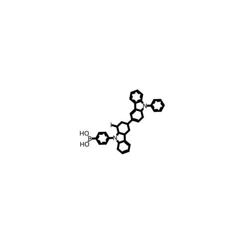 OB(O)c1ccc(N2C3CC=CC=C3C3CC(C4=CCC5C(=C4)c4ccccc4N5c4ccccc4)CC(I)C32)cc1